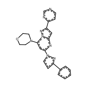 c1ccc(-c2ccn(-c3cc(N4CCOCC4)n4nc(-c5ccncn5)cc4n3)n2)cc1